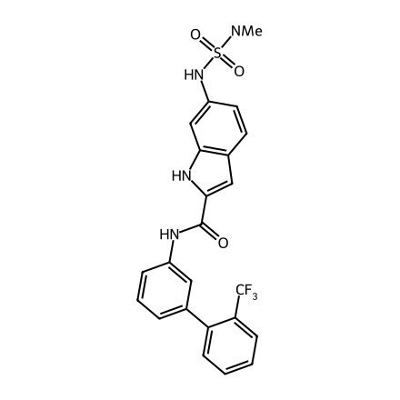 CNS(=O)(=O)Nc1ccc2cc(C(=O)Nc3cccc(-c4ccccc4C(F)(F)F)c3)[nH]c2c1